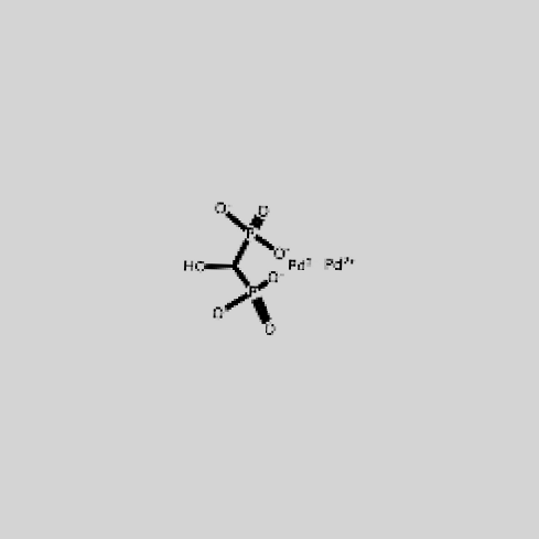 O=P([O-])([O-])C(O)P(=O)([O-])[O-].[Pd+2].[Pd+2]